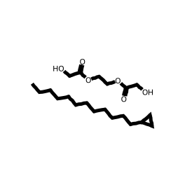 CCCCCCCCCCCC[C]1CC1.O=C(CO)OCCOC(=O)CO